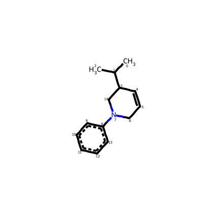 CC(C)C1C=CCN(c2ccccc2)C1